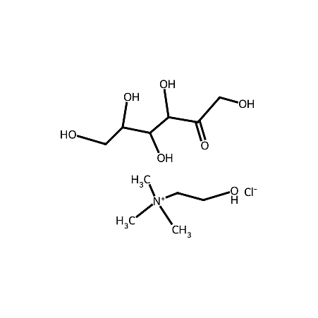 C[N+](C)(C)CCO.O=C(CO)C(O)C(O)C(O)CO.[Cl-]